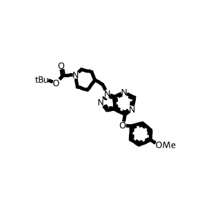 COc1ccc(Oc2ncnc3c2cnn3CC2CCN(C(=O)OC(C)(C)C)CC2)cc1